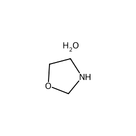 C1COCN1.O